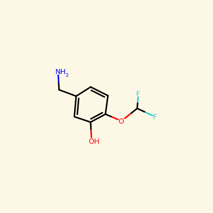 NCc1ccc(OC(F)F)c(O)c1